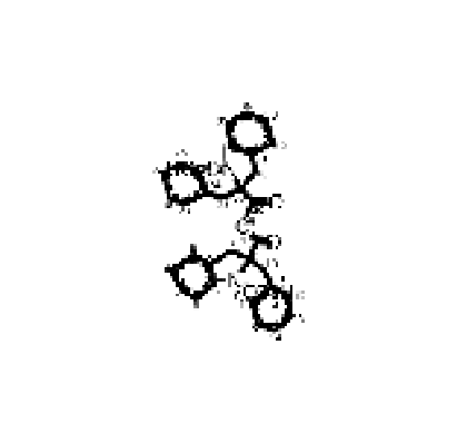 O=C(O)NC(Cc1ccccc1)(Cc1ccccc1)C(=O)OC(=O)C(Cc1ccccc1)(Cc1ccccc1)NC(=O)O